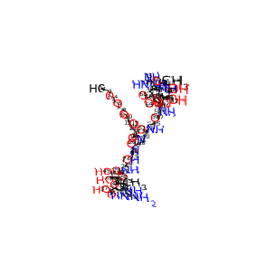 C#CCOCCOCCOCCOCCC(=O)N(CC(=O)NCCOCCNC(=O)O[C@@H]([C@@H]1OC(C(=O)O)=C[C@H](NC(=N)N)[C@H]1C)[C@H](O)CO)CC(=O)NCCOCCNC(=O)O[C@@H]([C@@H]1OC(C(=O)O)=C[C@H](NC(=N)N)[C@H]1NC(C)=O)[C@H](O)CO